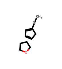 C1CCOC1.[CH3][Sr][C]1=CC=CC1